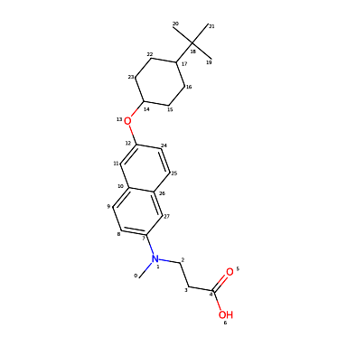 CN(CCC(=O)O)c1ccc2cc(OC3CCC(C(C)(C)C)CC3)ccc2c1